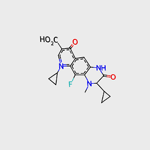 CN1c2c(cc3c(=O)c(C(=O)O)cn(C4CC4)c3c2F)NC(=O)C1C1CC1